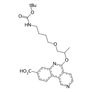 CC(COCCCCNC(=O)OC(C)(C)C)Oc1nc2cc(C(=O)O)ccc2c2cnccc12